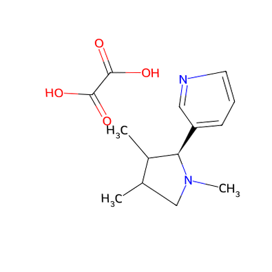 CC1CN(C)[C@H](c2cccnc2)C1C.O=C(O)C(=O)O